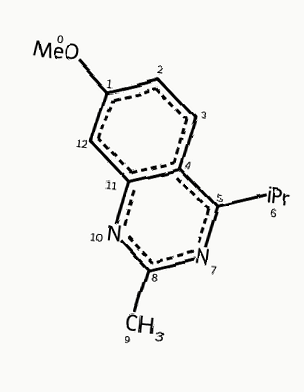 COc1ccc2c(C(C)C)nc(C)nc2c1